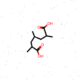 CC(CC(C)C(=O)O)CC(C)C(=O)O